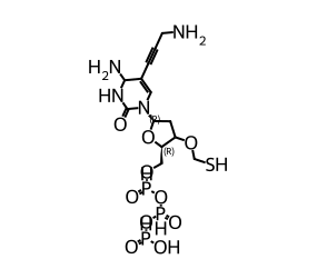 NCC#CC1=CN([C@H]2CC(OCS)[C@@H](CO[PH](=O)O[PH](=O)O[PH](=O)O)O2)C(=O)NC1N